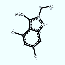 COc1c2c(Cl)cc(Cl)cc2nn1CC(C)=O